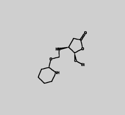 CCO[C@@H]1OC(=O)C[C@@H]1NCOC1CCCCN1